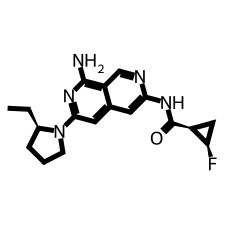 CC[C@@H]1CCCN1c1cc2cc(NC(=O)[C@H]3C[C@H]3F)ncc2c(N)n1